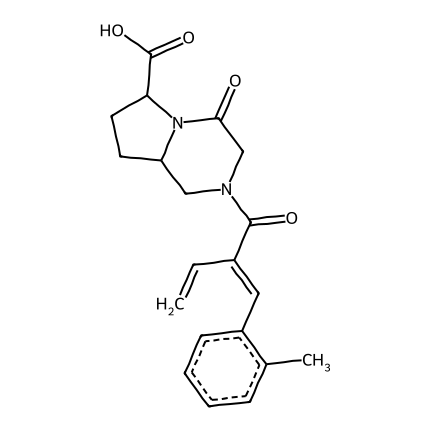 C=C/C(=C\c1ccccc1C)C(=O)N1CC(=O)N2C(CCC2C(=O)O)C1